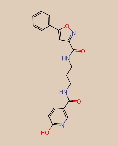 O=C(NCCCNC(=O)c1cc(-c2ccccc2)on1)c1ccc(O)nc1